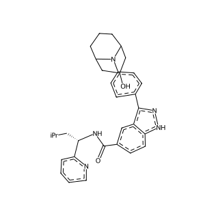 CC(C)C[C@H](NC(=O)c1ccc2[nH]nc(-c3ccc(N4C5CCCC4CC(O)C5)cc3)c2c1)c1ccccn1